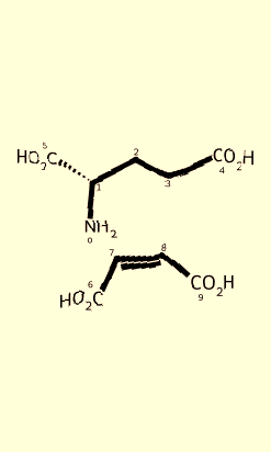 N[C@@H](CCC(=O)O)C(=O)O.O=C(O)/C=C\C(=O)O